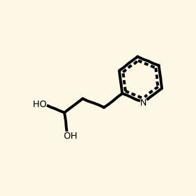 OC(O)CCc1ccccn1